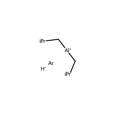 CC(C)[CH2][Al+][CH2]C(C)C.[Ar].[H-]